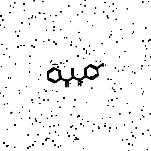 Cc1ccc(NC(=S)Nc2ccccc2)cc1